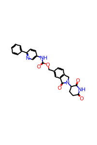 O=C1CCC(N2Cc3ccc(COC(=O)Nc4ccc(-c5ccccc5)nc4)cc3C2=O)C(=O)N1